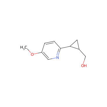 COc1ccc(C2CC2CO)nc1